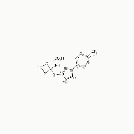 O=C(O)NC1(Cc2nc(-c3ccc(C(F)(F)F)cc3)c[nH]2)COC1